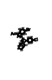 CC(=O)c1cn(CCCN2C3CCC2CC(Oc2ccc(Cl)cc2)C3)c2cc(Br)ccc12